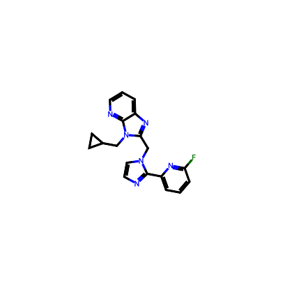 Fc1cccc(-c2nccn2Cc2nc3cccnc3n2CC2CC2)n1